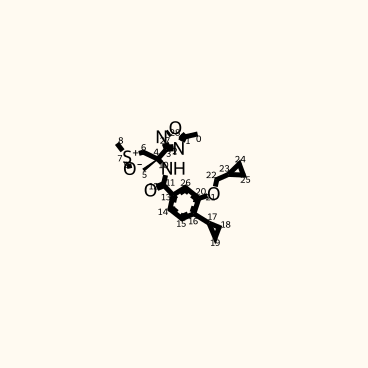 Cc1nc([C@@](C)(C[S+](C)[O-])NC(=O)c2ccc(C3CC3)c(OCC3CC3)c2)no1